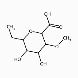 CCC1OC(C(=O)O)C(OC)C(O)C1O